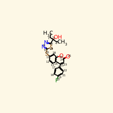 CCC(O)(CC)c1nnc(Sc2ccc3c(-c4ccc(F)cc4)cc(=O)oc3c2)s1